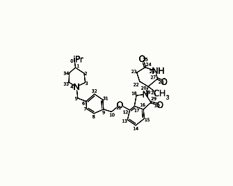 CC(C)C1CCN(Cc2ccc(COc3cccc4c3CN(C3(C)CCC(=O)NC3=O)C4=O)cc2)CC1